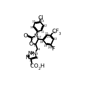 O=C(O)c1cn(CC2OC(=O)N(c3ccc(Cl)cc3)C2c2cc(F)cc(C(F)(F)F)c2)nn1